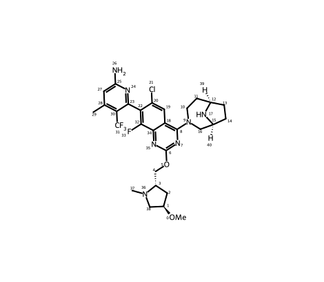 CO[C@@H]1C[C@@H](COc2nc(N3CC[C@H]4CC[C@@H](C3)N4)c3cc(Cl)c(-c4nc(N)cc(C)c4C(F)(F)F)c(F)c3n2)N(C)C1